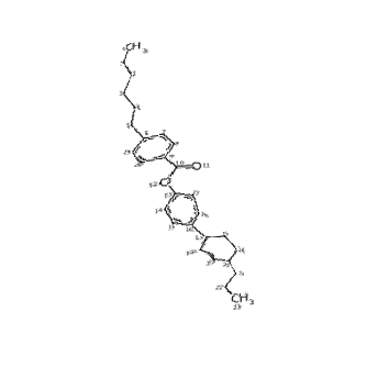 CCCCCCc1ccc(C(=O)Oc2ccc(C3CCC(CCC)CC3)cc2)cc1